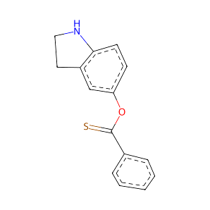 S=C(Oc1ccc2c(c1)CCN2)c1ccccc1